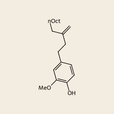 C=C(CCCCCCCCC)CCc1ccc(O)c(OC)c1